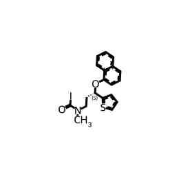 CN(CC[C@H](Oc1cccc2ccccc12)c1cccs1)C(=O)I